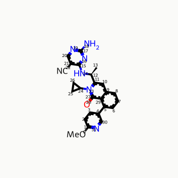 COc1ccc(-c2cccc3cc([C@H](C)Nc4nc(N)ncc4C#N)n(C4CC4)c(=O)c23)cn1